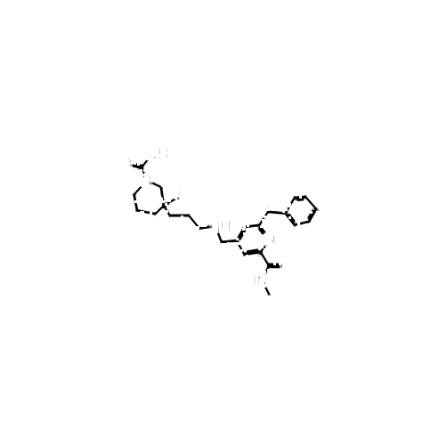 CNC(=O)c1cc(CNCCCC2(F)CCCN(C(=O)O)C2)cc(Cc2ccccc2)n1